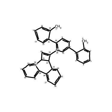 Cc1ccccc1-c1ccc(-c2ccccc2C)[n+](C2=CC3C2c2ccccc2-c2cccc[n+]23)c1